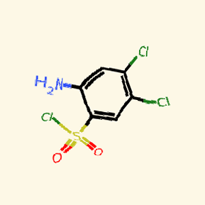 Nc1cc(Cl)c(Cl)cc1S(=O)(=O)Cl